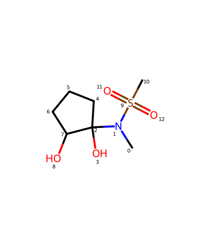 CN(C1(O)CCCC1O)S(C)(=O)=O